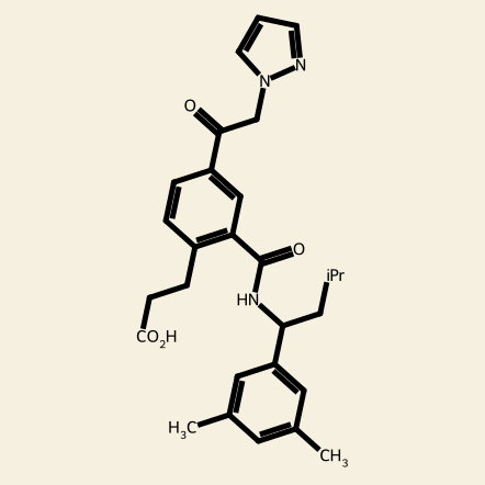 Cc1cc(C)cc(C(CC(C)C)NC(=O)c2cc(C(=O)Cn3cccn3)ccc2CCC(=O)O)c1